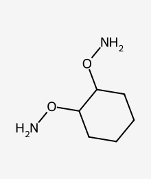 NOC1CCCCC1ON